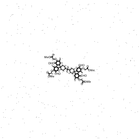 COC(=O)COc1c(C)cc(C2(c3cc(C)c(OCC(=O)OC)c(C=O)c3)CCC(C(C)(C)C3CCC(c4cc(C)c(OCC(=O)OC)c(C=O)c4)(c4cc(C)c(OCC(=O)OC)c(C=O)c4)CC3)CC2)cc1C=O